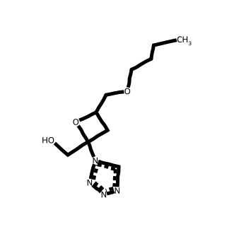 CCCCOCC1CC(CO)(n2cnnn2)O1